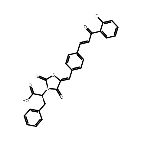 O=C(/C=C/c1ccc(/C=C2\SC(=S)N([C@@H](Cc3ccccc3)C(=O)O)C2=O)cc1)c1ccccc1F